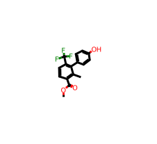 COC(=O)c1ccc(C(F)(F)F)c(-c2ccc(O)cc2)c1C